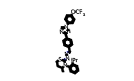 CC(C)c1ccccc1N1/C(=N/N=C/c2ccc(-c3ncn(-c4ccc(OC(F)(F)F)cc4)n3)cc2)SCCC1C